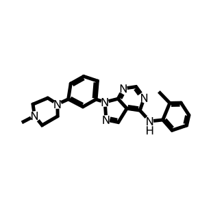 Cc1ccccc1Nc1ncnc2c1cnn2-c1cccc(N2CCN(C)CC2)c1